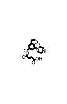 C[C@H]1CNCCN1c1cc(Cl)cc2ccoc12.O=C(O)C=CC(=O)O